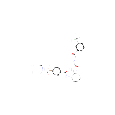 CCN(CC)S(=O)(=O)c1ccc(C(=O)NC2CCCCC2NC(=O)CNC(=O)c2cccc(C(F)(F)F)c2)cc1